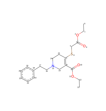 CCOC(=O)CSC1=C(C(=O)OCC)CN(CCc2ccccc2)CC1